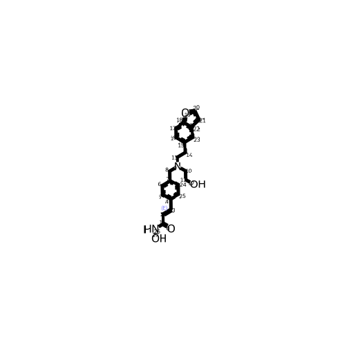 O=C(/C=C/c1ccc(CN(CCO)CCc2ccc3occc3c2)cc1)NO